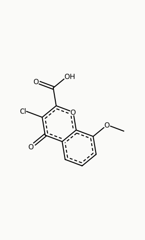 COc1cccc2c(=O)c(Cl)c(C(=O)O)oc12